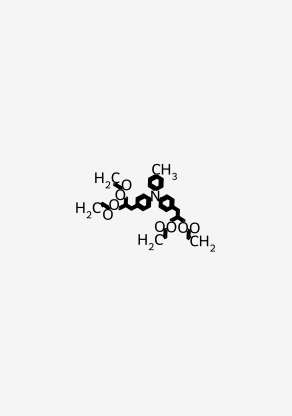 C=CC(=O)OCC(COC(=O)C=C)Cc1ccc(N(c2ccc(C)cc2)c2ccc(CC(COC(=O)C=C)COC(=O)C=C)cc2)cc1